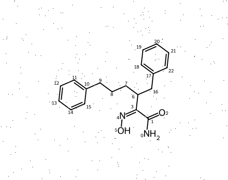 NC(=O)C(=NO)C(CCCc1ccccc1)Cc1ccccc1